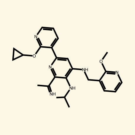 COc1ncccc1CNc1cc(-c2cccnc2OC2CC2)nc(C(C)=N)c1NC(C)C